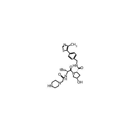 Cc1ncsc1-c1ccc(CNC(=O)[C@@H]2C[C@@H](O)CN2C(=O)[C@@H](NC(=O)CN2CCNCC2)C(C)(C)C)cc1